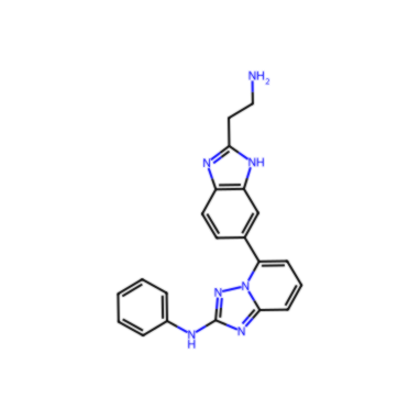 NCCc1nc2ccc(-c3cccc4nc(Nc5ccccc5)nn34)cc2[nH]1